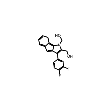 OCc1c(-c2ccc(F)c(F)c2)c2c(n1CO)=C1CC=CC=C1C=2